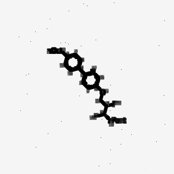 CCCCCCCCc1ccc(-c2ccc(OC[C@@H](F)[C@H](F)CCCCC)cn2)cc1